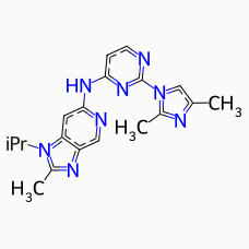 Cc1cn(-c2nccc(Nc3cc4c(cn3)nc(C)n4C(C)C)n2)c(C)n1